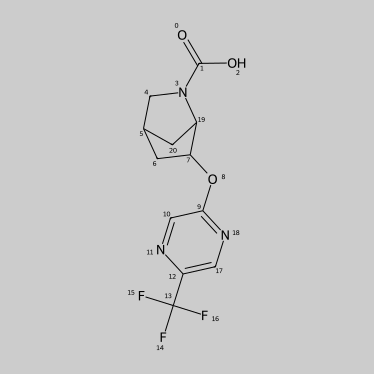 O=C(O)N1CC2CC(Oc3cnc(C(F)(F)F)cn3)C1C2